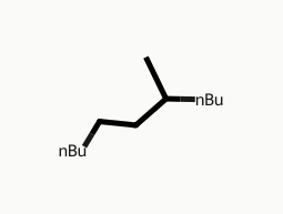 CC[CH]CCCC(C)CCCC